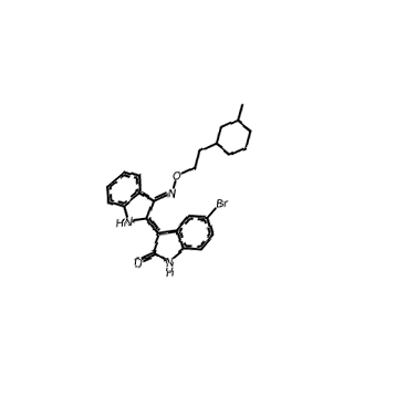 CC1CCCC(CCO/N=C2/C(=C3/C(=O)Nc4ccc(Br)cc43)Nc3ccccc32)C1